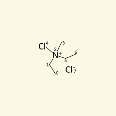 CC[N+](C)(Cl)CC.[Cl-]